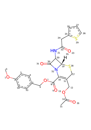 COc1ccc(COC(=O)C2=C(COC(C)=O)CS[C@H]3C(NC(=O)Cc4cccs4)C(=O)N23)cc1